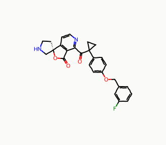 O=C1O[C@]2(CCNC2)c2ccnc(C(=O)C3(c4ccc(OCc5cccc(F)c5)cc4)CC3)c21